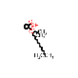 CC(C)CCCCCCCCCCC(CC(C)C)OC(=O)c1ccccc1C(=O)O